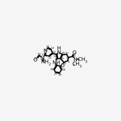 CN(C)C(=O)C1CC(=O)c2c([nH]c(-c3ccnc(N(N)C=O)c3)c2Nc2ccccc2)C1